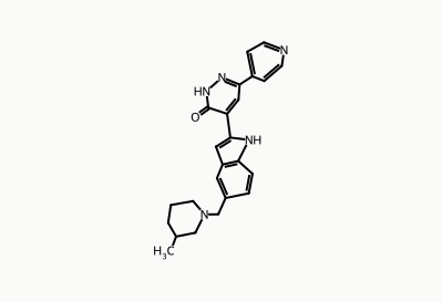 CC1CCCN(Cc2ccc3[nH]c(-c4cc(-c5ccncc5)n[nH]c4=O)cc3c2)C1